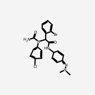 CN(C)N=C1C=CC(NC(=O)C(c2ccccc2Br)N(C(N)=O)c2ccc(Cl)cc2)C=C1